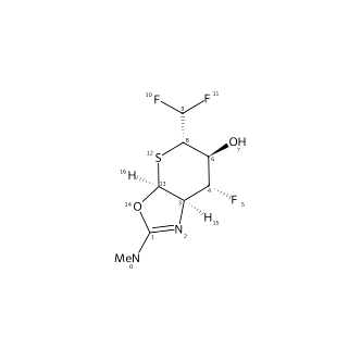 CNC1=N[C@@H]2[C@@H](F)[C@H](O)[C@@H](C(F)F)S[C@@H]2O1